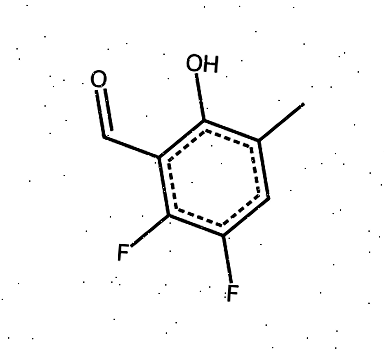 Cc1cc(F)c(F)c(C=O)c1O